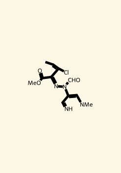 C/C=C(Cl)\C(=N/N(C=O)/C(C=N)=C/NC)C(=O)OC